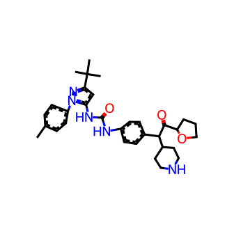 Cc1ccc(-n2nc(C(C)(C)C)cc2NC(=O)Nc2ccc(C(C(=O)C3CCCO3)C3CCNCC3)cc2)cc1